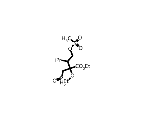 CCOC(=O)C(C[PH2]=O)(OCC)C(COS(C)(=O)=O)C(C)C